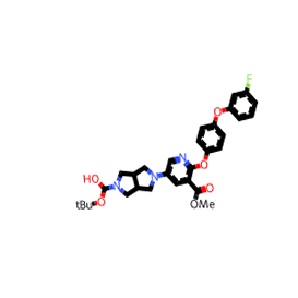 COC(=O)c1cc(N2CC3CN(C(O)OC(C)(C)C)CC3C2)cnc1Oc1ccc(Oc2cccc(F)c2)cc1